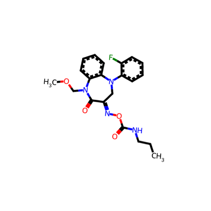 CCCNC(=O)O/N=C1\CN(c2ccccc2F)c2ccccc2N(COC)C1=O